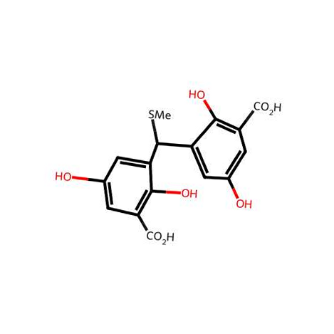 CSC(c1cc(O)cc(C(=O)O)c1O)c1cc(O)cc(C(=O)O)c1O